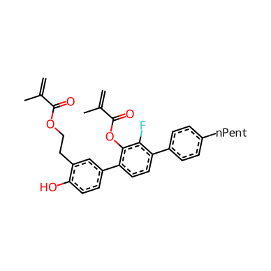 C=C(C)C(=O)OCCc1cc(-c2ccc(-c3ccc(CCCCC)cc3)c(F)c2OC(=O)C(=C)C)ccc1O